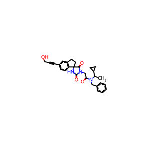 CC(C1CC1)N(Cc1ccccc1)C(=O)CN1C(=O)NC2(CCc3cc(C#CCO)ccc32)C1=O